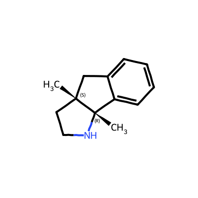 C[C@]12CCN[C@@]1(C)c1ccccc1C2